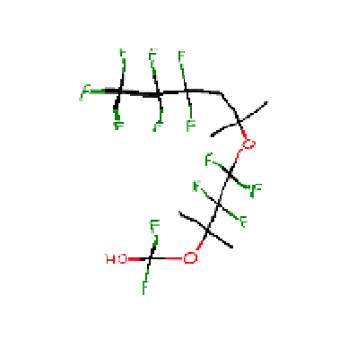 CC(C)(CC(F)(F)C(F)(F)C(F)(F)F)OC(F)(F)C(F)(F)C(C)(C)OC(O)(F)F